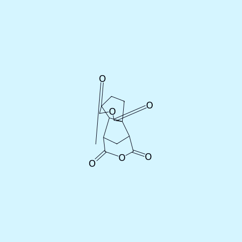 O=C1OC(=O)C2CC1C1C3CCC21C(=O)OC3=O